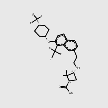 CC1(C)[C@H](NCCc2ccc3ccc(O[C@H]4CC[C@@H](C(F)(F)F)CC4)c(C(F)(F)F)c3c2)C[C@H]1C(=O)O